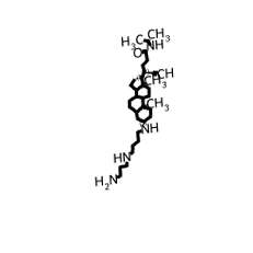 C#C[C@H](CCC(=O)NC(C)C)[C@H]1CCC2C3CCC4C[C@@H](NCCCCNCCCN)CC[C@]4(C)C3CC[C@@]21C